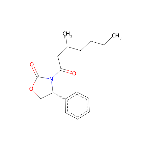 CCCC[C@@H](C)CC(=O)N1C(=O)OC[C@H]1c1ccccc1